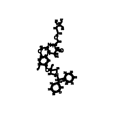 Cc1cc2c(cc1OC1(C)CN(C(c3ccccc3)c3ccccc3)C1)N1C(=NN(COCC[Si](C)(C)C)C(=O)C1C)CO2